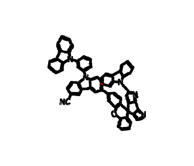 N#Cc1ccc2c(c1)c1cc(-c3ccc4c(c3)Oc3ccccc3C43c4cccnc4-c4ncc(-n5c6ccccc6c6ccccc65)cc43)ccc1n2-c1cccc(-n2c3ccccc3c3ccccc32)c1